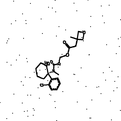 CN(C(=O)OCOC(=O)CC1(C)COC1)[C@]1(c2ccccc2Cl)CCCCC1O